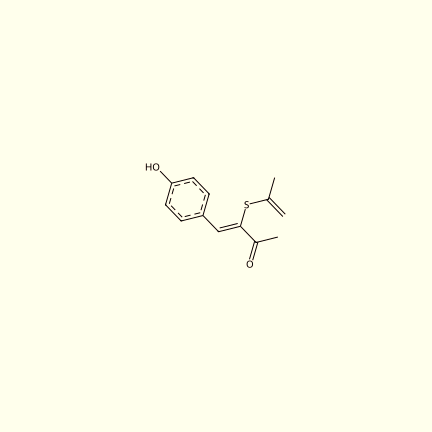 C=C(C)S/C(=C\c1ccc(O)cc1)C(C)=O